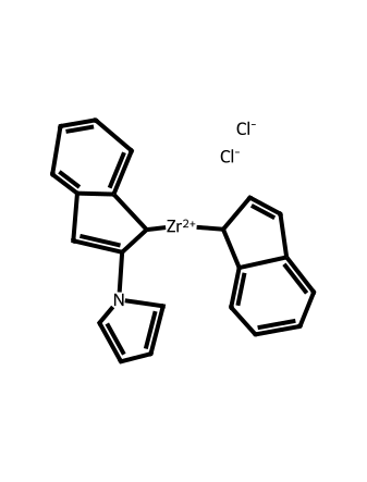 C1=C[CH]([Zr+2][CH]2C(n3cccc3)=Cc3ccccc32)c2ccccc21.[Cl-].[Cl-]